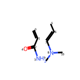 C=CC(N)=O.CC=CN(C)C